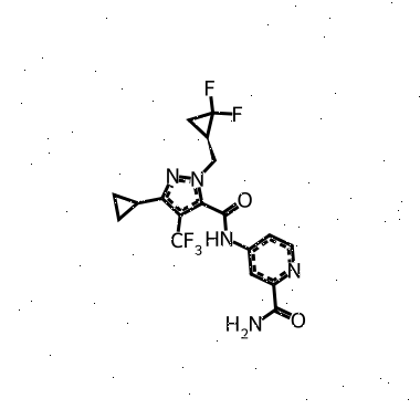 NC(=O)c1cc(NC(=O)c2c(C(F)(F)F)c(C3CC3)nn2C[C@H]2CC2(F)F)ccn1